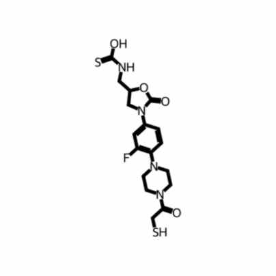 O=C(CS)N1CCN(c2ccc(N3CC(CNC(O)=S)OC3=O)cc2F)CC1